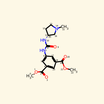 COC(=O)c1cc(NC(=O)N[C@@H]2CCN(C)C2)cc(C(=O)OC)c1